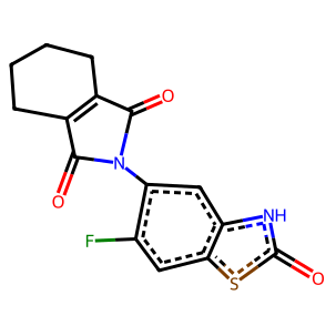 O=C1C2=C(CCCC2)C(=O)N1c1cc2[nH]c(=O)sc2cc1F